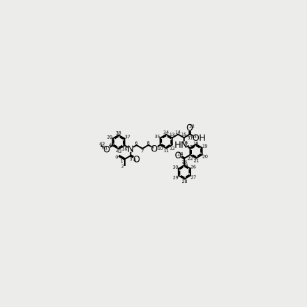 C=C(C)C(=O)N(CCCOc1ccc(CC(Nc2ccccc2C(=O)c2ccccc2)C(=O)O)cc1)c1cccc(OC)c1